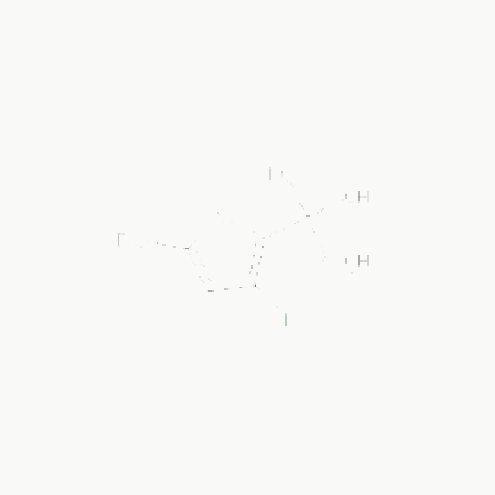 CC(C)(C(=O)O)c1sc(C(F)(F)F)cc1F